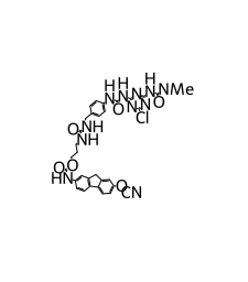 CNC(=O)Nc1nc(Cl)nc(NC(=O)Nc2ccc(CNC(=O)NCCCOC(=O)Nc3ccc4c(c3)Cc3cc(OC#N)ccc3-4)cc2)n1